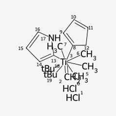 Cl.Cl.[CH2]=[Ti]([CH3])([CH3])([CH3])([CH3])([C]1=CC=CC1)([c]1ccc[nH]1)([C](C)(C)C)[C](C)(C)C